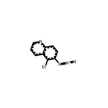 CCc1c(N=[N+]=[N-])ccc2ncccc12